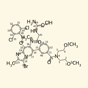 COCCN(CCOC)C(=O)c1cccc(-c2cn3c(Br)c(C)nc3c(OCc3c(Cl)cccc3Cl)c2N(C)C(=O)CNC(N)=O)c1.Cl